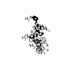 CC[C@H](C)[C@@H]([C@@H](CC(=O)N1CCC[C@H]1[C@H](OC)[C@@H](C)C(=O)N(CCc1cccc(N)c1)OC)OC)N(C)C(=O)[C@@H](NC(=O)[C@H](C(C)C)N(C)C)C(C)C